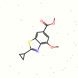 COC(=O)c1cc(OC)c2nc(C3CC3)sc2c1